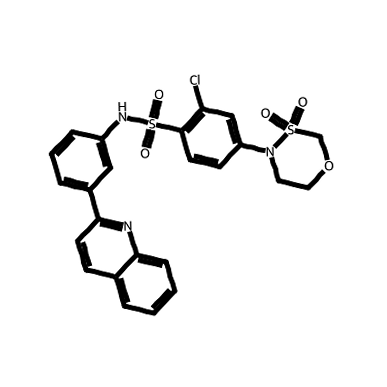 O=S(=O)(Nc1cccc(-c2ccc3ccccc3n2)c1)c1ccc(N2CCOCS2(=O)=O)cc1Cl